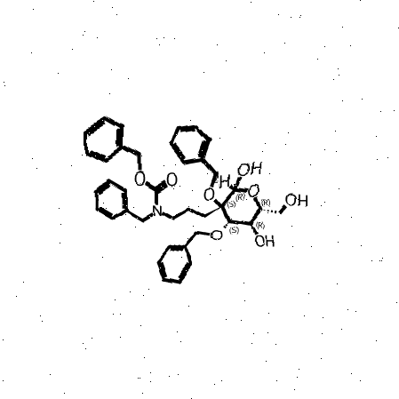 [2H][C@@]1(O)O[C@H](CO)[C@@H](O)[C@H](OCc2ccccc2)[C@]1(CCCN(Cc1ccccc1)C(=O)OCc1ccccc1)OCc1ccccc1